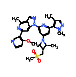 COc1ccncc1-c1cc2c(cnn2-c2cc(N3C[C@H](CS(C)(=O)=O)[C@H]3C)cc(-c3c(C)cnn3C)n2)c(C)n1